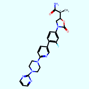 C[C@H](C(N)=O)C1CN(c2ccc(-c3ccc(N4CCN(c5ncccn5)CC4)nc3)c(F)c2)C(=O)O1